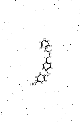 CN(CCc1ccc(Oc2ccc(O)cc2)cc1)Cc1ccccc1